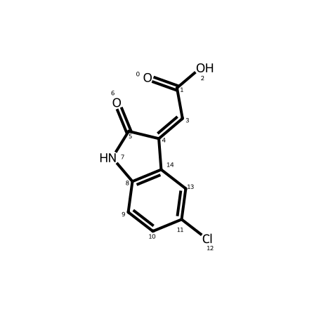 O=C(O)C=C1C(=O)Nc2ccc(Cl)cc21